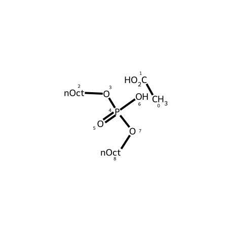 CC(=O)O.CCCCCCCCOP(=O)(O)OCCCCCCCC